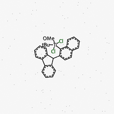 C[O][Ti]([Cl])([Cl])([c]1c(C2c3ccccc3-c3ccccc32)ccc2ccccc12)[C](C)(C)C